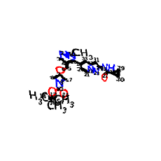 Cn1ncc(COC2CN(C(=O)OC(C)(C)C)C2)c1-c1ccn2nc(NC(=O)C3CC3)cc2c1